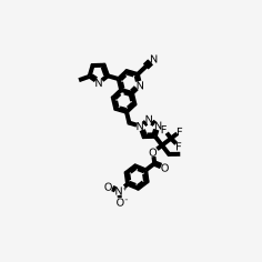 CCC(OC(=O)c1ccc([N+](=O)[O-])cc1)(c1cn(Cc2ccc3c(C4=CCC(C)=N4)cc(C#N)nc3c2)nn1)C(F)(F)F